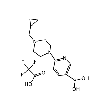 O=C(O)C(F)(F)F.OB(O)c1ccc(N2CCN(CC3CC3)CC2)nc1